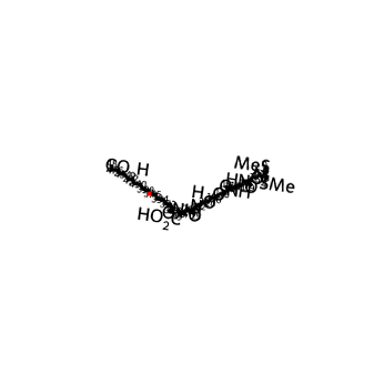 CSCC(CSC)=NOCC(=O)NCCNC(=O)COCCOCCNC(=O)CC[C@H](NC(=O)CCCCCCCCCCCCCCCCC(=O)O)C(=O)O